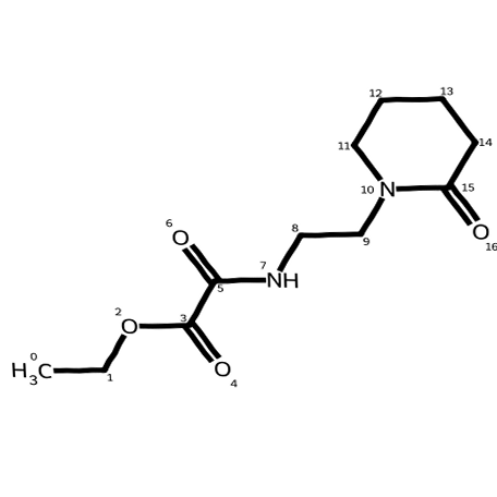 CCOC(=O)C(=O)NCCN1CCCCC1=O